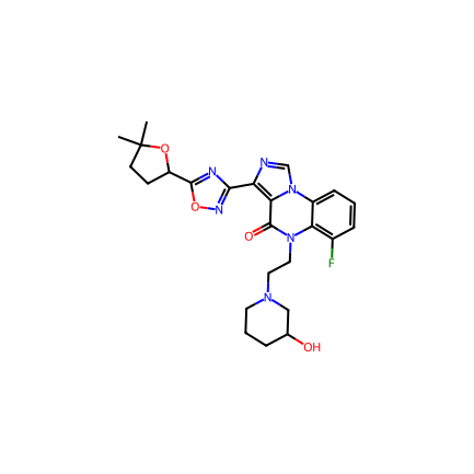 CC1(C)CCC(c2nc(-c3ncn4c3c(=O)n(CCN3CCCC(O)C3)c3c(F)cccc34)no2)O1